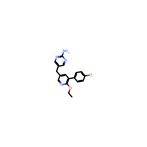 CCOc1ncc(Cc2cnc(N)nc2)cc1-c1ccc(Cl)cc1